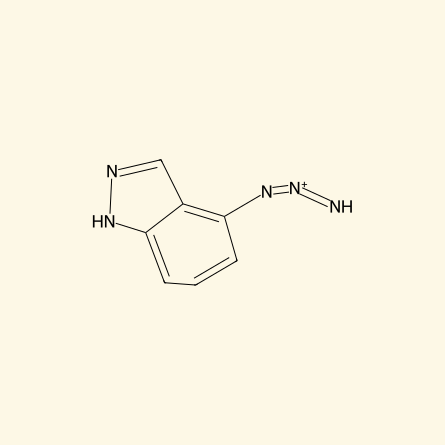 N=[N+]=Nc1cccc2[nH]ncc12